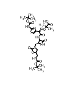 CC(C)(C)OC(=O)NCC1CN(C[C@@H]2NC(=O)C2NC(=O)/C(=N\OC(C)(C)C(=O)O)c2csc(NC(=O)OC(C)(C)C)n2)C(=O)O1